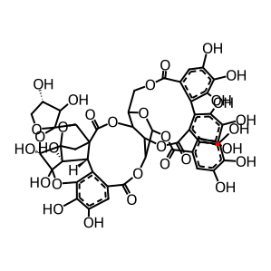 O=C(OC1OC2COC(=O)c3cc(O)c(O)c(O)c3-c3c(cc(O)c(O)c3O)C(=O)OC3C2OC(=O)C24CC56OC2C2(OC[C@H](O)C2O)O[C@]5(O)C2(O)Oc5c(O)c(O)cc(c5[C@@H]4[C@@]26O)C(=O)OC13)c1cc(O)c(O)c(O)c1